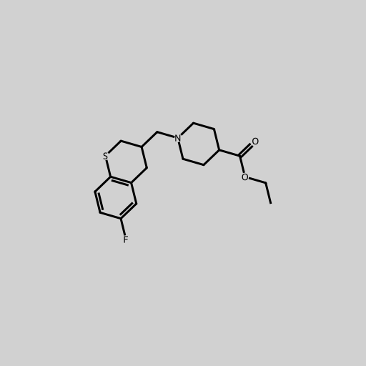 CCOC(=O)C1CCN(CC2CSc3ccc(F)cc3C2)CC1